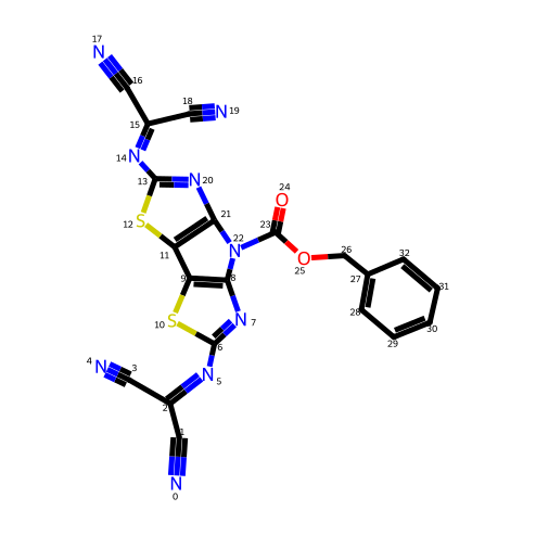 N#CC(C#N)=Nc1nc2c(s1)c1sc(N=C(C#N)C#N)nc1n2C(=O)OCc1ccccc1